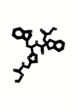 CC(C)(C)OC(=O)CC1(C(=O)NC(Cc2c[nH]c3ccccc23)c2nnc(CNC(=O)OC(C)(C)C)o2)Cc2ccccc2C1